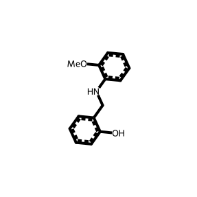 COc1ccccc1NCc1ccccc1O